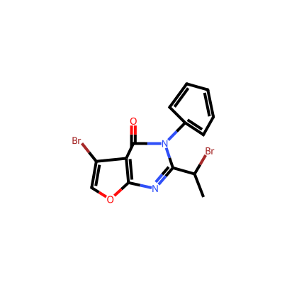 CC(Br)c1nc2occ(Br)c2c(=O)n1-c1ccccc1